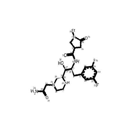 CCN1CC(C(=O)N[C@@H](Cc2cc(F)cc(F)c2)[C@H](O)[C@H]2CN(CC(N)=O)CCN2)CC1=O